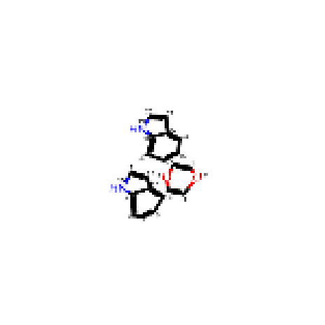 C1=COC=CO1.c1ccc2[nH]ccc2c1.c1ccc2[nH]ccc2c1